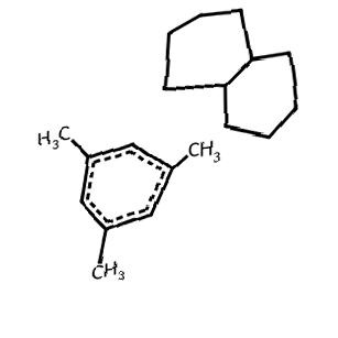 C1CCC2CCCCC2C1.Cc1cc(C)cc(C)c1